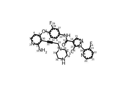 Nc1nccc(Oc2ccc(NC(=O)c3cnn(-c4ncccc4F)c3C(F)(F)F)cc2F)c1C#CCN1CCNCC1